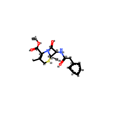 CC1=C(C(=O)OC(C)(C)C)N2C(=O)C(NC(=O)Cc3ccccc3)[C@H]2SC1